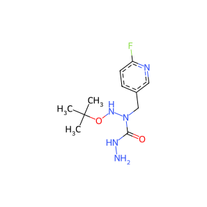 CC(C)(C)ONN(Cc1ccc(F)nc1)C(=O)NN